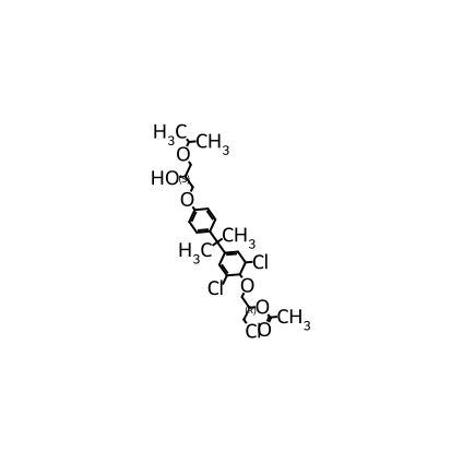 CC(=O)O[C@@H](CCl)COC1C(Cl)=CC(C(C)(C)c2ccc(OC[C@@H](O)COC(C)C)cc2)=CC1Cl